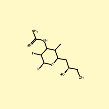 CC1C(C[C@H](O)CO)OC(F)C(F)C1NC(=N)N